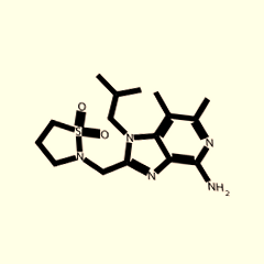 Cc1nc(N)c2nc(CN3CCCS3(=O)=O)n(CC(C)C)c2c1C